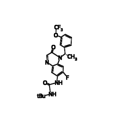 C[C@@H](c1cccc(OC(F)(F)F)c1)n1c(=O)cnc2cc(NC(=O)NC(C)(C)C)c(F)cc21